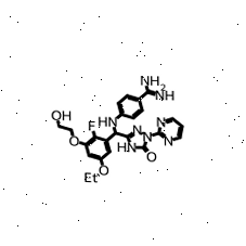 CCOc1cc(OCCO)c(F)c(C(Nc2ccc(C(=N)N)cc2)c2nn(-c3ncccn3)c(=O)[nH]2)c1